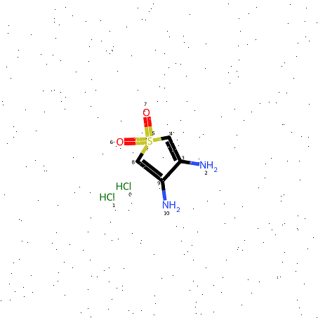 Cl.Cl.NC1=CS(=O)(=O)C=C1N